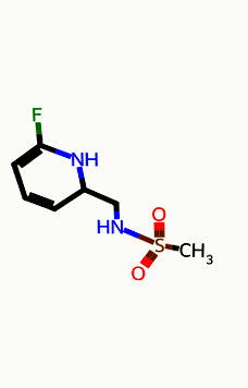 CS(=O)(=O)NCC1C=CC=C(F)N1